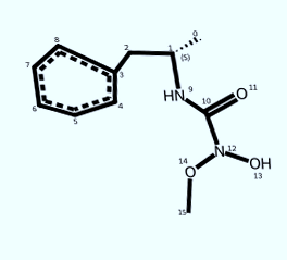 [CH2][C@@H](Cc1ccccc1)NC(=O)N(O)OC